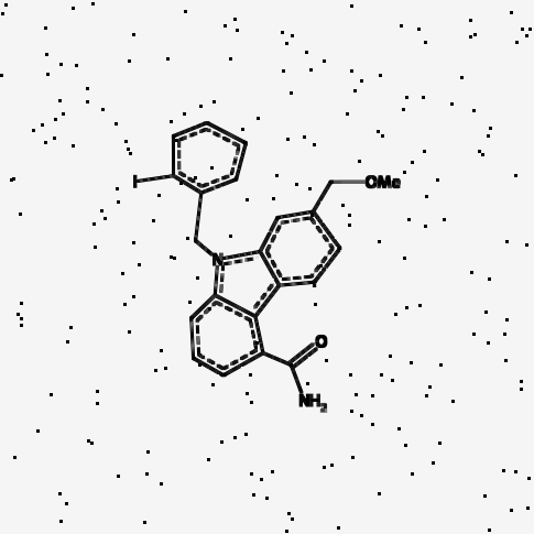 COCc1c[c]c2c3c(C(N)=O)cccc3n(Cc3ccccc3I)c2c1